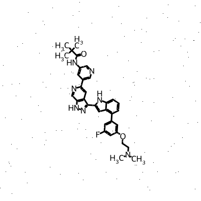 CN(C)CCOc1cc(F)cc(-c2cccc3[nH]c(-c4n[nH]c5cnc(-c6cncc(NC(=O)C(C)(C)C)c6)cc45)cc23)c1